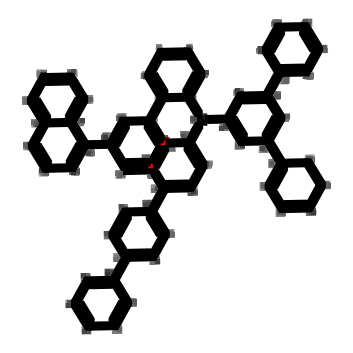 c1cc(-c2ccccc2N(c2ccc(-c3ccc(-c4ccccc4)cc3)cc2)c2cc(C3=CC=CCC3)cc(-c3ccccc3)c2)cc(-c2cccc3ccccc23)c#1